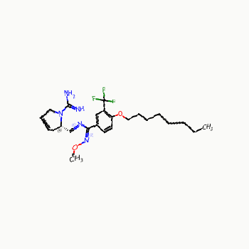 CCCCCCCCOc1ccc(C(=N/OC)/N=C/[C@@H]2C=CCN2C(=N)N)cc1C(F)(F)F